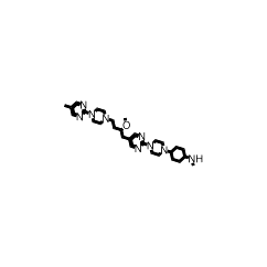 CNC1CCC(N2CCN(c3ncc(CC(CCN4CCN(c5ncc(C)cn5)CC4)OC)cn3)CC2)CC1